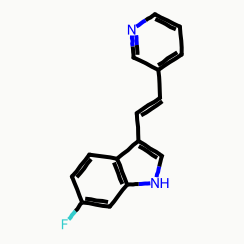 Fc1ccc2c(C=Cc3cccnc3)c[nH]c2c1